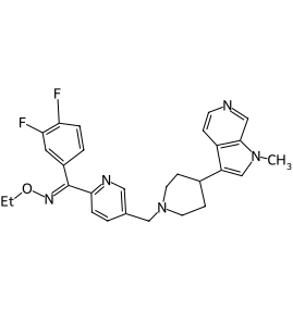 CCON=C(c1ccc(F)c(F)c1)c1ccc(CN2CCC(c3cn(C)c4cnccc34)CC2)cn1